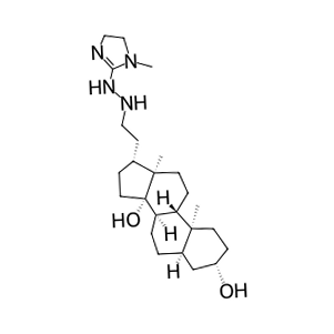 CN1CCN=C1NNCC[C@H]1CC[C@]2(O)[C@@H]3CC[C@@H]4C[C@@H](O)CC[C@]4(C)[C@H]3CC[C@]12C